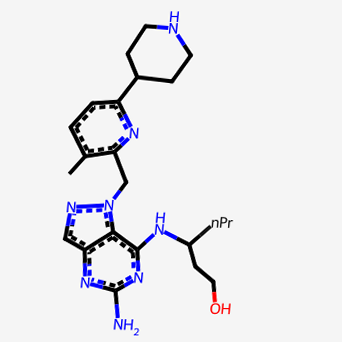 CCCC(CCO)Nc1nc(N)nc2cnn(Cc3nc(C4CCNCC4)ccc3C)c12